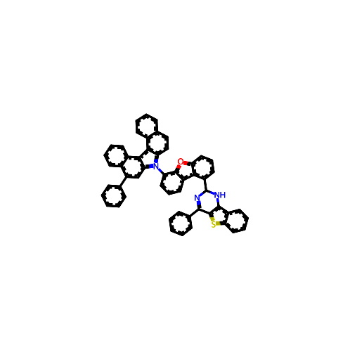 c1ccc(C2=NC(c3cccc4oc5c(-n6c7ccc8ccccc8c7c7c8ccccc8c(-c8ccccc8)cc76)cccc5c34)Nc3c2sc2ccccc32)cc1